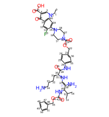 CCn1cc(C(=O)O)c(=O)c2cc(F)c(N3CCN(C(=O)OCc4ccc(NC(=O)[C@H](CCCCN)N/C=C(\N)C(NC(=O)OCc5ccccc5)C(C)C)cc4)CC3)cc21